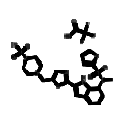 CCS(=O)(=O)N1CCN(Cc2cnc(-c3cc4cccc(N(C)S(=O)(=O)c5cccs5)c4[nH]3)s2)CC1.O=C(O)C(F)(F)F